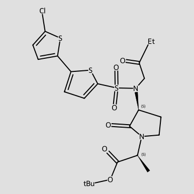 CCC(=O)CN([C@H]1CCN([C@@H](C)C(=O)OC(C)(C)C)C1=O)S(=O)(=O)c1ccc(-c2ccc(Cl)s2)s1